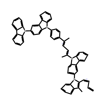 C=C/C=C\c1c(C)c2ccccc2n1-c1ccc2c(c1)c1ccccc1n2/C(C)=C/C=C(\C)c1ccc(-n2c3ccccc3c3cc(-n4c5ccccc5c5ccccc54)ccc32)cc1